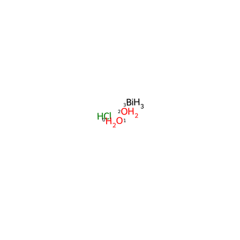 Cl.O.O.[BiH3]